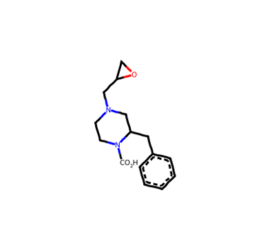 O=C(O)N1CCN(CC2CO2)CC1Cc1ccccc1